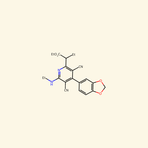 CCNc1nc(C(CC)C(=O)OCC)c(C#N)c(-c2ccc3c(c2)OCO3)c1C#N